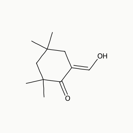 CC1(C)C/C(=C\O)C(=O)C(C)(C)C1